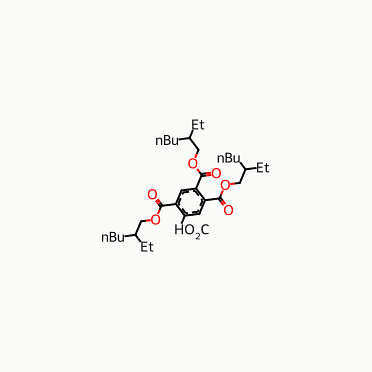 CCCCC(CC)COC(=O)c1cc(C(=O)OCC(CC)CCCC)c(C(=O)OCC(CC)CCCC)cc1C(=O)O